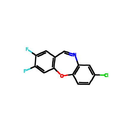 Fc1cc2c(cc1F)Oc1ccc(Cl)cc1N=C2